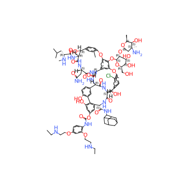 CCNCCOc1ccc(NC(=O)Oc2cc(O)c3c(c2)[C@@H](C(=O)NC2C4CC5CC(C4)CC2C5)NC(=O)[C@H]2NC(=O)[C@H](NC(=O)[C@@H]4NC(=O)[C@H](CC(N)=O)NC(=O)[C@H](NC(=O)[C@@H](CC(C)C)NC)[C@H](O)c5ccc(c(C)c5)Oc5cc4cc(c5O[C@@H]4O[C@H](CO)[C@@H](O)[C@H](O)[C@H]4O[C@H]4C[C@](C)(N)[C@H](O)[C@H](C)O4)Oc4ccc(cc4Cl)[C@H]2O)c2ccc(O)c-3c2)c(OCCNCC)c1